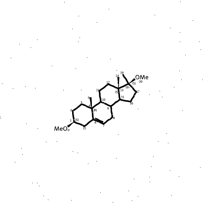 CO[C@H]1CC[C@@]2(C)C(=CCC3C2CC[C@@]2(C)C3CC[C@]2(C)OC)C1